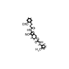 CCOc1ccccc1CCC(=O)Nc1sc2c(c1C#N)CCC(OC(=O)NCc1cnoc1C)C2